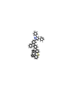 c1ccc(-c2cc(-c3ccccc3)nc(-c3ccc(-c4ccccc4)c(-c4ccc(-c5ccc6c(c5)C5(c7ccccc7S6)c6ccccc6-c6ccccc65)cc4)c3)c2)cc1